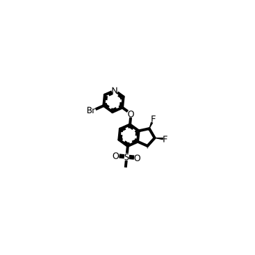 CS(=O)(=O)c1ccc(Oc2cncc(Br)c2)c2c1[CH][C@H](F)[C@@H]2F